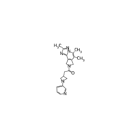 Cc1nc2c3c(c(C)c(C)n2n1)CN(C(=O)CC1CN(c2cccnc2)C1)C3